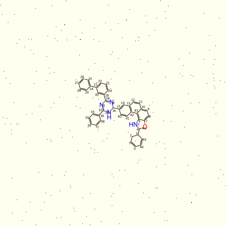 C1=CCC(C2Nc3c(ccc4ccc5cc(C6N=C(c7cccc(-c8ccccc8)c7)N=C(c7ccccc7)N6)ccc5c34)O2)C=C1